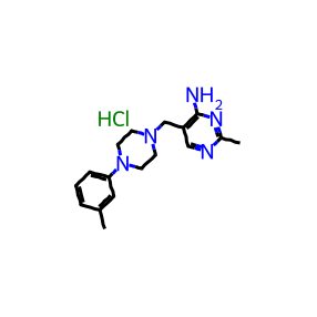 Cc1cccc(N2CCN(Cc3cnc(C)nc3N)CC2)c1.Cl